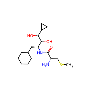 CSC[C@H](N)C(=O)N[C@@H](CC1CCCCC1)[C@@H](O)[C@@H](O)C1CC1